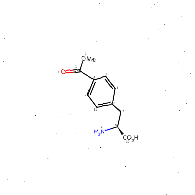 COC(=O)c1ccc(C[C@H](N)C(=O)O)cc1